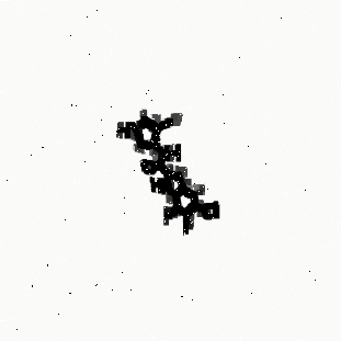 C[C@@H]1CNC[C@@H]1NC(=O)c1cc2cc(Cl)c(F)c(F)c2[nH]1